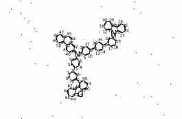 c1cc(-c2ccc(N(c3ccc(-c4ccc(-c5cccc(-n6c7ccccc7c7ccccc76)c5)cc4)cc3)c3ccc4c(ccc5ccccc54)c3)cc2)cc(-c2cccc3oc4ccccc4c23)c1